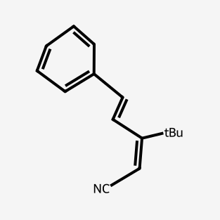 CC(C)(C)C(/C=C/c1ccccc1)=C/C#N